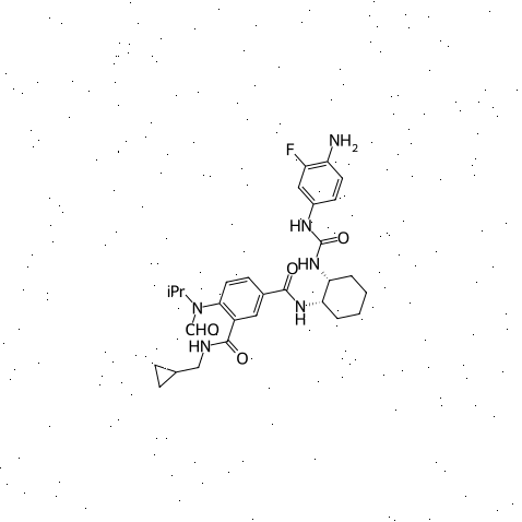 CC(C)N(C=O)c1ccc(C(=O)N[C@H]2CCCC[C@H]2NC(=O)Nc2ccc(N)c(F)c2)cc1C(=O)NCC1CC1